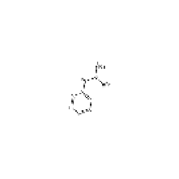 CCCCC(CCC)Sc1ccccc1